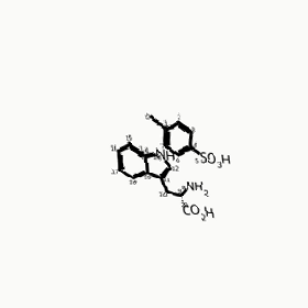 Cc1ccc(S(=O)(=O)O)cc1.N[C@@H](Cc1c[nH]c2ccccc12)C(=O)O